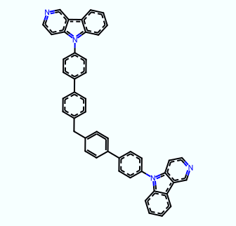 C1=C=C(c2ccc(-n3c4ccccc4c4cnccc43)cc2)C=CC=1Cc1ccc(-c2ccc(-n3c4ccccc4c4cnccc43)cc2)cc1